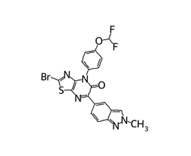 Cn1cc2cc(-c3nc4sc(Br)nc4n(-c4ccc(OC(F)F)cc4)c3=O)ccc2n1